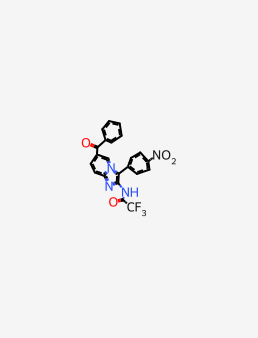 O=C(c1ccccc1)c1ccc2nc(NC(=O)C(F)(F)F)c(-c3ccc([N+](=O)[O-])cc3)n2c1